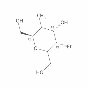 CC[C@@H]1C(CO)O[C@@H](CO)C(C)[C@@H]1O